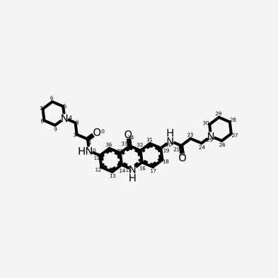 O=C(CCN1CCCCC1)Nc1ccc2[nH]c3ccc(NC(=O)CCN4CCCCC4)cc3c(=O)c2c1